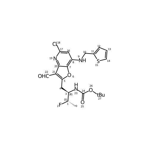 C[C@H](F)[C@@H](Cc1oc2c(NCc3cccs3)cc(Cl)nc2c1C=O)NC(=O)OC(C)(C)C